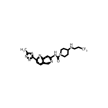 Cc1nnc(-c2ccc3cnc(NC(=O)N4CCC(NCCC(F)(F)F)CC4)cc3n2)s1